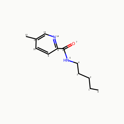 CCCCCNC(=O)c1ccc(C)cn1